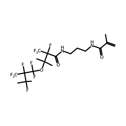 C=C(C)C(=O)NCCCNC(=O)C(F)(C(F)(F)F)C(C)(C)OC(F)(F)C(F)(C(C)(C)F)C(F)(F)F